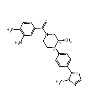 Cc1ccc(C(=O)N2CC[C@H](c3ccc(-c4ccnn4C)cc3)[C@H](C)C2)cc1N